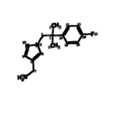 CC(C)(Cn1cc(CN)cn1)c1ccc(F)cc1